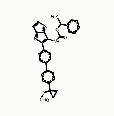 CC(OC(=O)NC1=C(c2ccc(-c3ccc(C4(OC=O)CC4)cc3)cc2)N=C2C=CN=C21)c1ccccc1